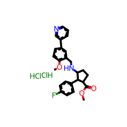 COC(=O)C1CCC(NCc2cc(-c3cccnc3)ccc2OC)C1c1ccc(F)cc1.Cl.Cl